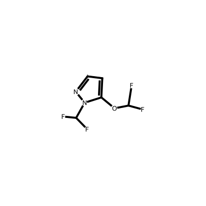 FC(F)Oc1c[c]nn1C(F)F